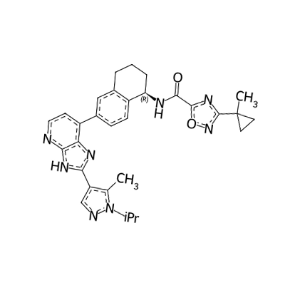 Cc1c(-c2nc3c(-c4ccc5c(c4)CCC[C@H]5NC(=O)c4nc(C5(C)CC5)no4)ccnc3[nH]2)cnn1C(C)C